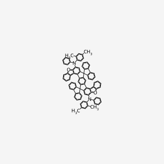 Cc1ccc(N(c2ccccc2)c2cc3c(c4c2oc2ccccc24)-c2cc4c(cc2C32c3ccccc3-c3ccccc32)-c2c(cc(N(c3ccccc3)c3ccc(C)cc3C)c3oc5ccccc5c23)C42c3ccccc3-c3ccccc32)c(C)c1